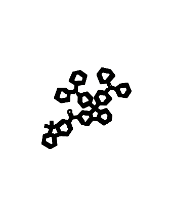 CC1(C)c2ccccc2-c2ccc(C(=O)c3ccc4c(c3)C(c3ccc(N(c5ccccc5)c5ccccc5)cc3)(c3ccc(N(c5ccccc5)c5ccccc5)cc3)c3ccccc3-4)cc21